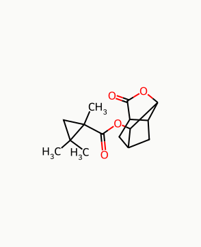 CC1(C)CC1(C)C(=O)OC1C2CC3C(=O)OC1C3C2